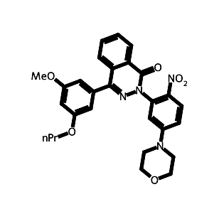 CCCOc1cc(OC)cc(-c2nn(-c3cc(N4CCOCC4)ccc3[N+](=O)[O-])c(=O)c3ccccc23)c1